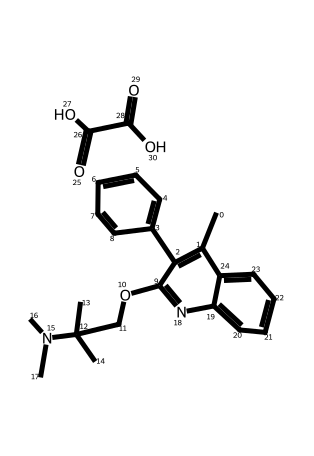 Cc1c(-c2ccccc2)c(OCC(C)(C)N(C)C)nc2ccccc12.O=C(O)C(=O)O